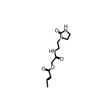 CC=CC(=O)OCC(=O)NCCN1CCNC1=O